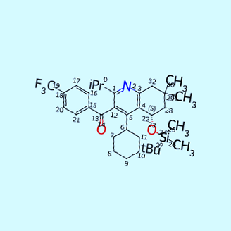 CC(C)c1nc2c(c(C3CCCCC3)c1C(=O)c1ccc(C(F)(F)F)cc1)[C@@H](O[Si](C)(C)C(C)(C)C)CC(C)(C)C2